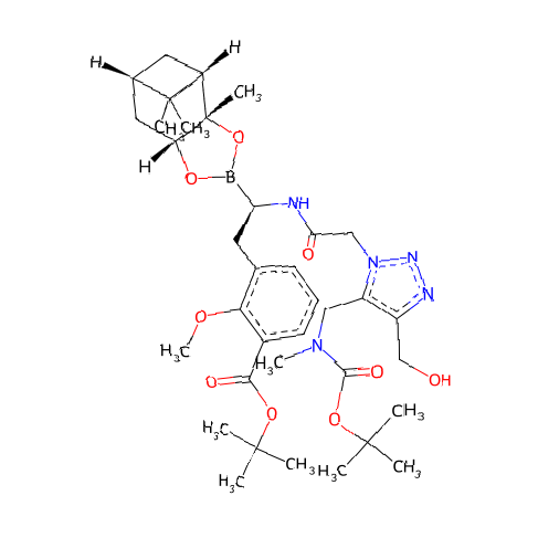 COc1c(C[C@H](NC(=O)Cn2nnc(CO)c2CN(C)C(=O)OC(C)(C)C)B2O[C@@H]3C[C@@H]4C[C@@H](C4(C)C)[C@]3(C)O2)cccc1C(=O)OC(C)(C)C